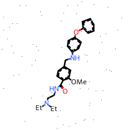 CCN(CC)CCNC(=O)c1ccc(CNc2ccc(Oc3ccccc3)cc2)cc1OC